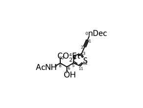 CCCCCCCCCCC#Cc1cc(C(O)C(NC(C)=O)C(=O)OCC)cs1